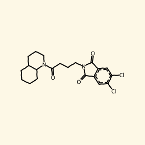 O=C1c2cc(Cl)c(Cl)cc2C(=O)N1CCCC(=O)N1CCCC2CCCCC21